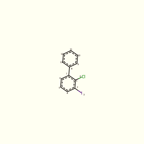 Clc1c(I)cccc1-c1ccccc1